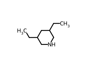 CCC1CNCC(CC)C1